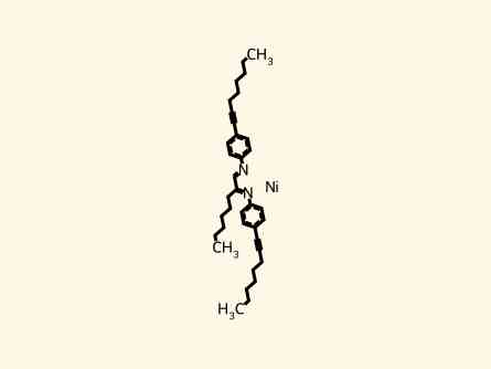 CCCCCCC#Cc1ccc(N=CC(CCCCCC)=Nc2ccc(C#CCCCCCC)cc2)cc1.[Ni]